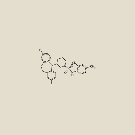 Cc1ccc(NS(=O)(=O)N2CCCC(C3c4ccc(F)cc4CCc4cc(F)ccc43)C2)c(Cl)c1